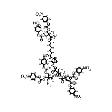 CC(COC(=O)Oc1ccc([N+](=O)[O-])cc1)(COC(=O)Oc1ccc([N+](=O)[O-])cc1)C(=O)OCCCCCCn1cc(COC(=O)C(C)(COC(=O)C(C)(COC(=O)Oc2ccc([N+](=O)[O-])cc2)COC(=O)Oc2ccc([N+](=O)[O-])cc2)COC(=O)C(C)(COC(=O)Oc2ccc([N+](=O)[O-])cc2)COC(=O)Oc2ccc([N+](=O)[O-])cc2)nn1